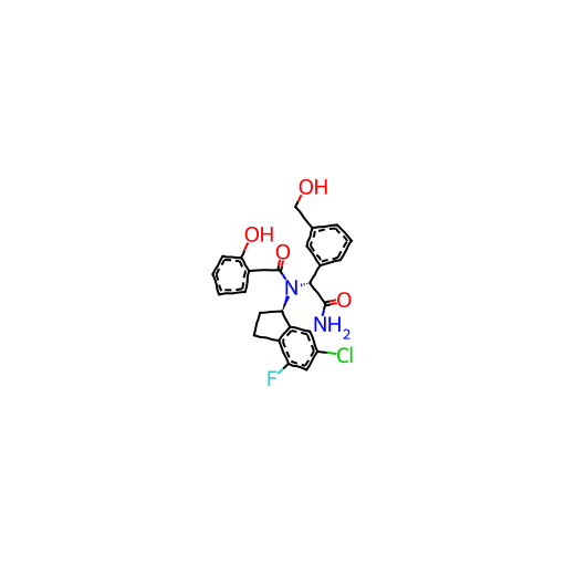 NC(=O)[C@@H](c1cccc(CO)c1)N(C(=O)c1ccccc1O)[C@@H]1CCc2c(F)cc(Cl)cc21